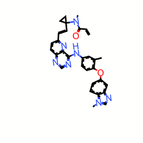 C=CC(=O)N(C)C1(C=Cc2ccc3ncnc(Nc4ccc(Oc5ccc6c(c5)ncn6C)c(C)c4)c3n2)CC1